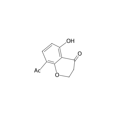 CC(=O)c1ccc(O)c2c1OCCC2=O